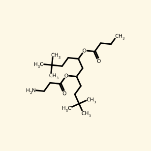 CCCC(=O)OC(CCC(C)(C)C)CC(CCC(C)(C)C)OC(=O)CCN